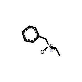 C/C=[N+](\[O-])Cc1ccccc1